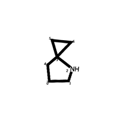 [CH]1CNC2(C1)CC2